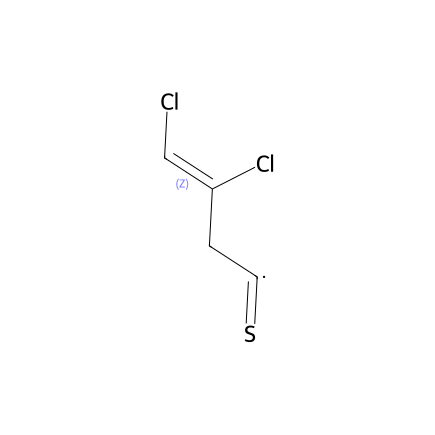 S=[C]C/C(Cl)=C/Cl